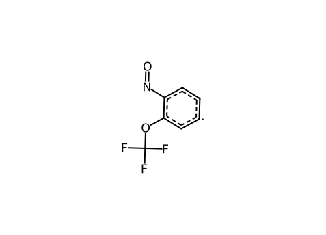 O=Nc1cc[c]cc1OC(F)(F)F